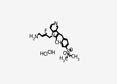 Cc1c(Cc2ccc(S(=O)(=O)N(C)C)cc2)c2cnccc2n1CC(F)=CCN.Cl.Cl